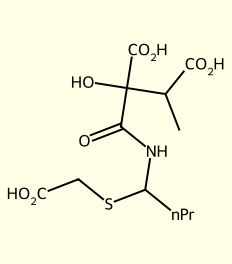 CCCC(NC(=O)C(O)(C(=O)O)C(C)C(=O)O)SCC(=O)O